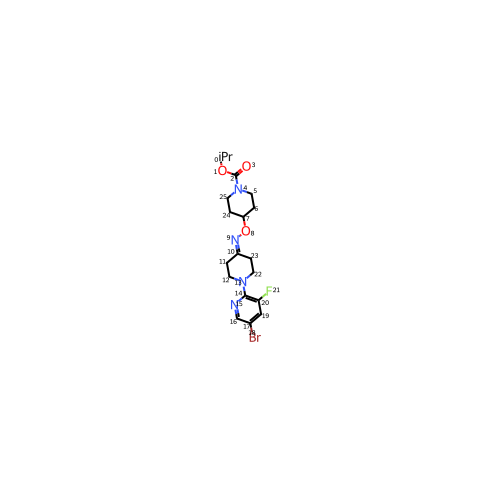 CC(C)OC(=O)N1CCC(ON=C2CCN(c3ncc(Br)cc3F)CC2)CC1